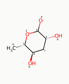 C[C@@H]1OC([O])[C@H](O)C[C@H]1O